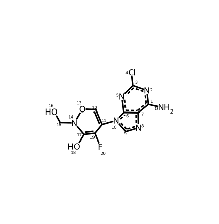 Nc1nc(Cl)nc2c1ncn2C1=CON(CO)C(O)=C1F